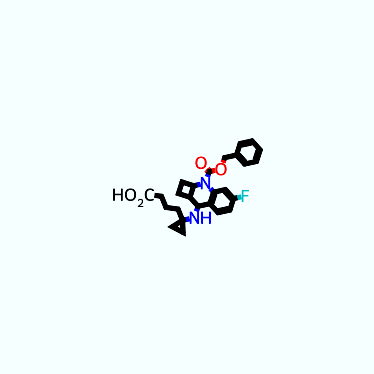 O=C(O)CCCC1(NC2c3ccc(F)cc3N(C(=O)OCc3ccccc3)C3CCC23)CC1